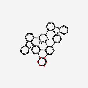 c1ccc(-c2ccccc2-c2c(-c3ccccc3)ccc(-c3ccccc3)c2-c2nc(-c3cccc4c3sc3ccccc34)cc(-c3cccc4c3sc3ccccc34)n2)cc1